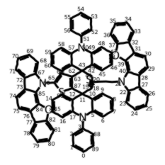 c1ccc(N2c3ccccc3C3(c4ccccc42)c2cc(-n4c5ccccc5c5ccc6c7ccccc7oc6c54)sc2C2(c4ccccc4N(c4ccccc4)c4ccccc42)c2cc(-n4c5ccccc5c5ccc6c7ccccc7oc6c54)sc23)cc1